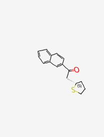 O=C(C[C@@H]1CCCS1)c1ccc2ccccc2c1